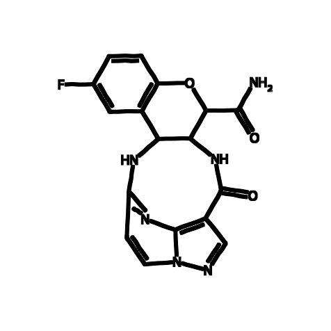 NC(=O)C1Oc2ccc(F)cc2C2Nc3ccn4ncc(c4n3)C(=O)NC12